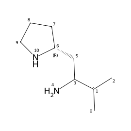 C[C](C)C(N)C[C@H]1CCCN1